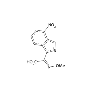 CO/N=C(/C(=O)O)c1scc2c([N+](=O)[O-])cccc12